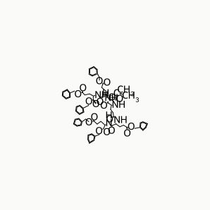 CC(C)(C)OC(=O)NC(CCC(=O)NC(CCC(=O)OCc1ccccc1)C(=O)NC(CCC(=O)OCc1ccccc1)C(=O)OCc1ccccc1)C(=O)NC(CCC(=O)OCc1ccccc1)C(=O)NC(CCC(=O)OCc1ccccc1)C(=O)OCc1ccccc1